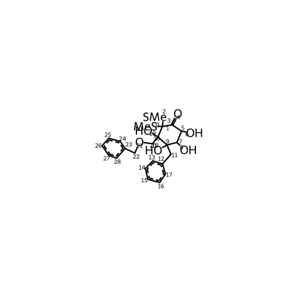 CSC1(SC)C(=O)C(O)C(O)C(O)(Cc2ccccc2)C1(O)COCc1ccccc1